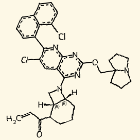 C=CC(=O)C1CCC[C@@H]2[C@H]1CN2c1nc(OCC23CCCN2CCC3)nc2nc(-c3cccc4cccc(Cl)c34)c(Cl)cc12